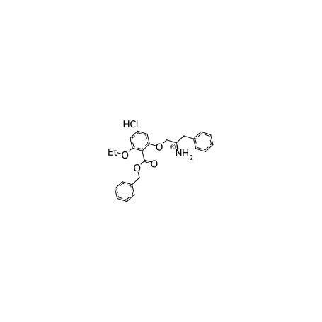 CCOc1cccc(OC[C@H](N)Cc2ccccc2)c1C(=O)OCc1ccccc1.Cl